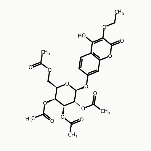 CCOc1c(O)c2ccc(O[C@@H]3O[C@H](COC(C)=O)[C@H](OC(C)=O)[C@H](OC(C)=O)[C@H]3OC(C)=O)cc2oc1=O